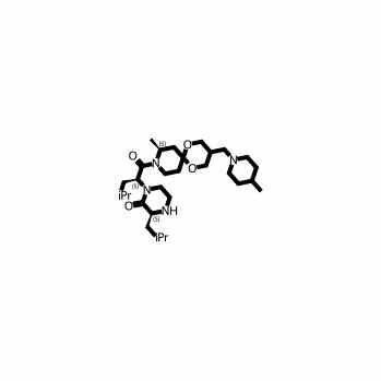 CC(C)C[C@@H]1NCCN([C@@H](CC(C)C)C(=O)N2CCC3(C[C@@H]2C)OCC(CN2CCC(C)CC2)CO3)C1=O